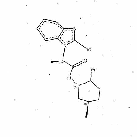 CCc1nc2ccccc2n1[C@H](C)C(=O)O[C@H]1C[C@H](C)CCC1C(C)C